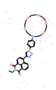 CCN1C(=O)c2cccc3c(-c4cn(-c5ccc(N6CCOCCOCCOCCOCCOCC6)cc5)nn4)ccc(c23)C1=O